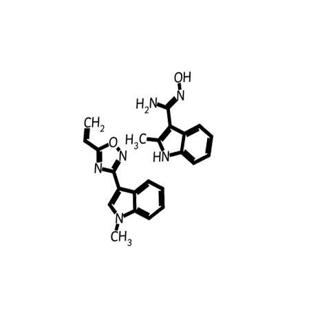 C=Cc1nc(-c2cn(C)c3ccccc23)no1.Cc1[nH]c2ccccc2c1C(N)=NO